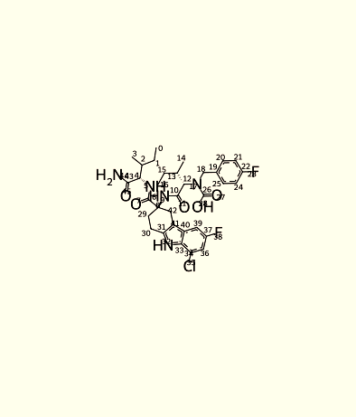 CCC(C)[C@H](NC(=O)[C@@]1(NC(=O)[C@H](C(C)CC)N(Cc2ccc(F)cc2)C(=O)O)CCc2[nH]c3c(Cl)cc(F)cc3c2C1)C(N)=O